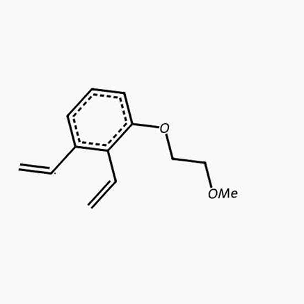 C=[C]c1cccc(OCCOC)c1C=C